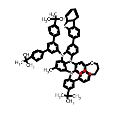 Cc1cc2c3c(c1)N(c1ccc(C(C)(C)C)cc1-c1ccccc1)c1cc4c(cc1B3c1ccc(-c3ccc5c(c3)SC3C=CC=CC53)cc1N2c1cc(-c2ccc(C(C)(C)C)cc2)cc(-c2ccc(C(C)(C)C)cc2)c1)OCCCO4